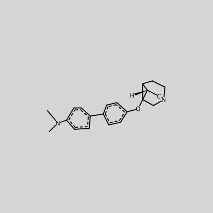 CN(C)c1ccc(-c2ccc(O[C@H]3CN4CCC3CC4)cc2)cc1